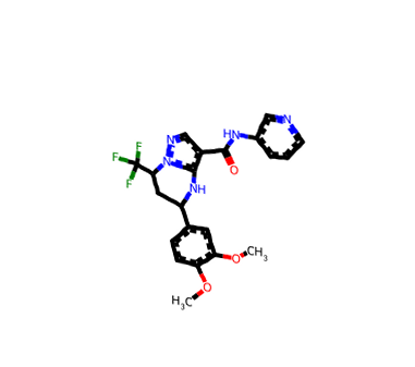 COc1ccc(C2CC(C(F)(F)F)n3ncc(C(=O)Nc4cccnc4)c3N2)cc1OC